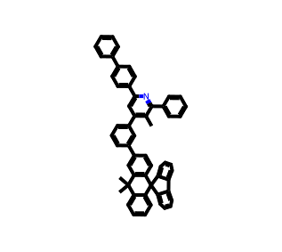 Cc1c(-c2cccc(-c3ccc4c(c3)C(C)(C)c3ccccc3C43c4ccccc4-c4ccccc43)c2)cc(-c2ccc(-c3ccccc3)cc2)nc1-c1ccccc1